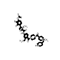 CCc1cc(NC(=O)c2ncc(-c3ccc(OC(F)F)c(F)c3F)n2C)ccc1C(=O)N1CCN(C(=O)C2CC[N+](C)(CC3CCNCC3)CC2)CC1